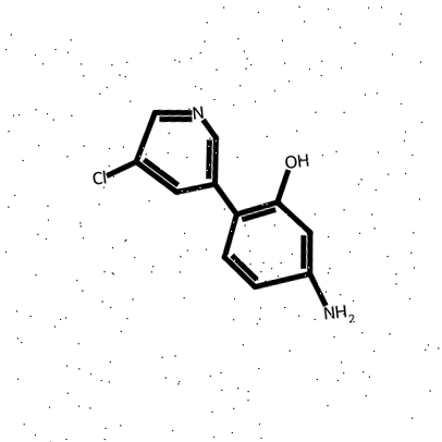 Nc1ccc(-c2cncc(Cl)c2)c(O)c1